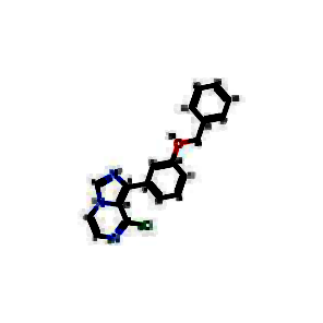 Clc1nccn2cnc(-c3cccc(OCc4ccccc4)c3)c12